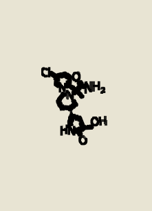 CC(C(N)=O)(c1ccc(Cl)cn1)N1CCC[C@@H](c2c[nH]c(=O)c(CO)c2)C1